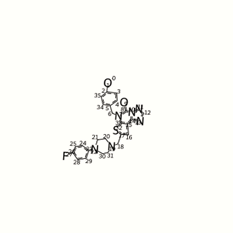 COc1ccc(Cn2c(=O)n3ncnc3c3cc(CN4CCN(c5ccc(F)cc5)CC4)sc32)cc1